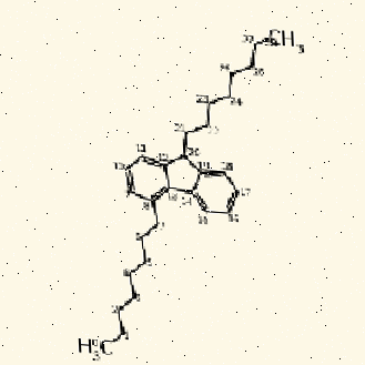 CCCCCCCCc1cccc2c1-c1ccccc1C2CCCCCCCC